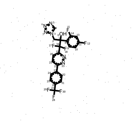 OC(Cn1cnnn1)(c1ccc(F)cc1F)C(F)(F)c1ccc(-c2ccc(C(F)(F)F)cc2)nn1